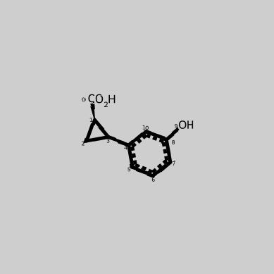 O=C(O)[C@@H]1CC1c1cccc(O)c1